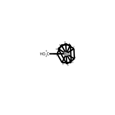 O=C(O)[C]12[CH]3[CH]4[CH]5[CH]1[Ru]45321678[CH]2[CH]1[CH]6[CH]7[CH]28